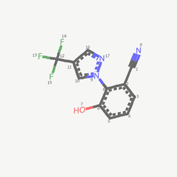 N#Cc1cccc(O)c1-n1cc(C(F)(F)F)cn1